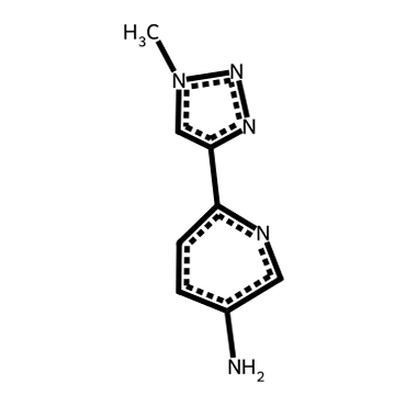 Cn1cc(-c2ccc(N)cn2)nn1